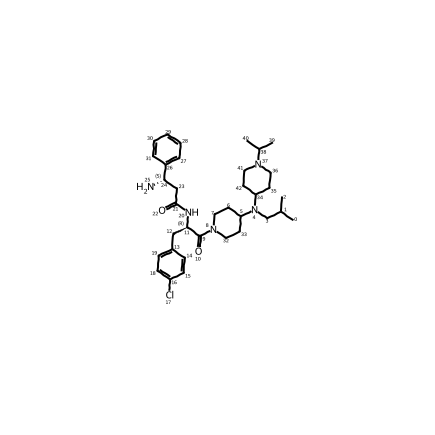 CC(C)CN(C1CCN(C(=O)[C@@H](Cc2ccc(Cl)cc2)NC(=O)C[C@H](N)c2ccccc2)CC1)C1CCN(C(C)C)CC1